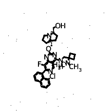 CN(C)C1(CNc2nc(OC[C@]34CCCN3[C@@H](CO)CC4)nc3c(F)c(-c4cccc5cccc(Cl)c45)ncc23)CCC1